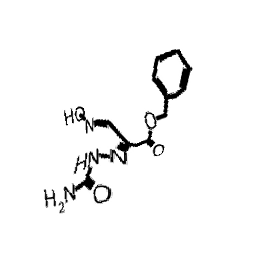 NC(=O)N/N=C(\C=N\O)C(=O)OCc1ccccc1